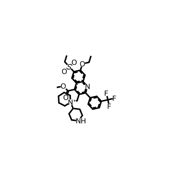 CCOc1cc2nc(-c3cccc(C(F)(F)F)c3)c(C[N+]3(C4CCNCC4)CCCCC3)c(C(=O)OC)c2cc1S(=O)(=O)CC